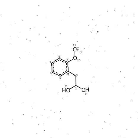 OC(O)Cc1ccccc1OC(F)(F)F